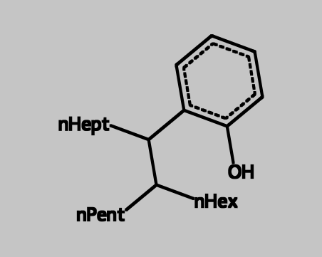 CCCCCCCC(c1ccccc1O)C(CCCCC)CCCCCC